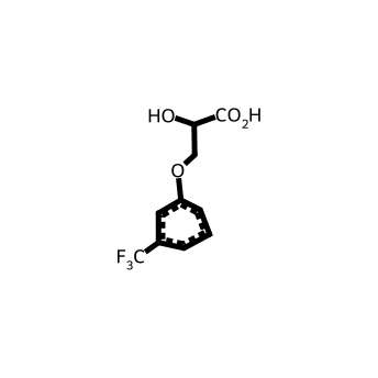 O=C(O)C(O)COc1cccc(C(F)(F)F)c1